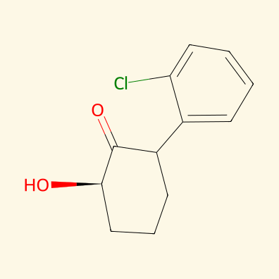 O=C1C(c2ccccc2Cl)CCC[C@H]1O